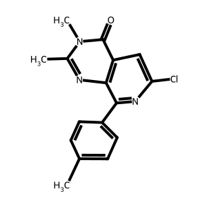 Cc1ccc(-c2nc(Cl)cc3c(=O)n(C)c(C)nc23)cc1